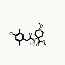 COC(=O)C1(N(O)C(=O)Cc2cc(C)c(Cl)cc2C)CCN(OC)CC1